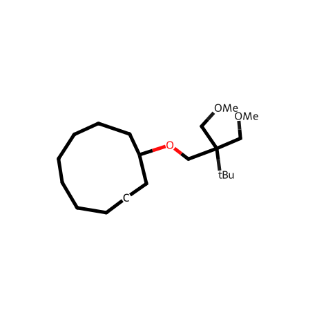 COCC(COC)(COC1CCCCCCCCC1)C(C)(C)C